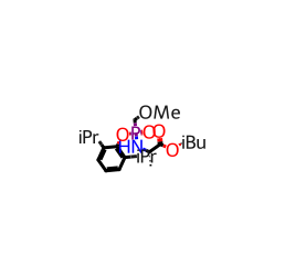 CC[C@H](C)OC(=O)[C@H](C)NP(=O)(COC)Oc1c(C(C)C)cccc1C(C)C